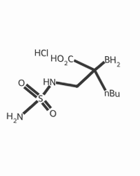 BC(CCCC)(CNS(N)(=O)=O)C(=O)O.Cl